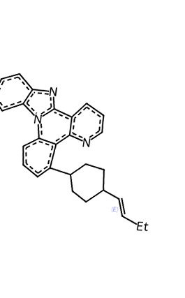 CC/C=C/C1CCC(c2cccc3c2c2ncccc2c2nc4ccccc4n32)CC1